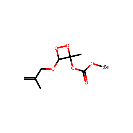 C=C(C)COC1OOC1(C)OC(=O)OC(C)(C)C